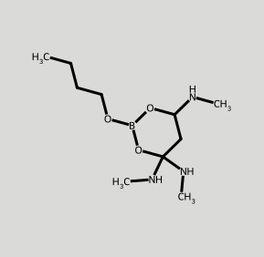 CCCCOB1OC(NC)CC(NC)(NC)O1